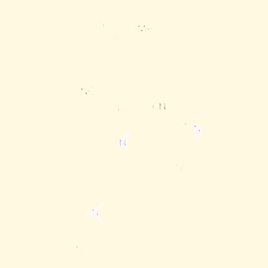 COC(=O)c1cc(C#N)c(COc2nc(-c3ccc(N4CCOCC4)cc3)cc(-c3oncc3C(=O)O)c2C#N)s1